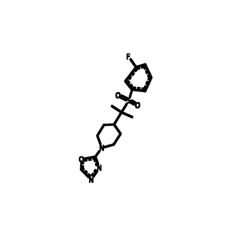 CC(C)(C1CCN(c2nnco2)CC1)S(=O)(=O)c1cccc(F)c1